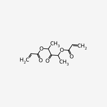 C=CC(=O)OC(C)C(=O)C(C)OC(=O)C=C